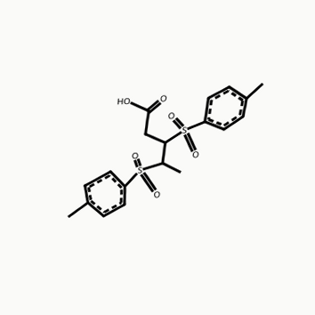 Cc1ccc(S(=O)(=O)C(C)C(CC(=O)O)S(=O)(=O)c2ccc(C)cc2)cc1